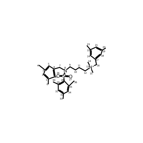 Cc1cc(C)cc(CN(CCCC[N+](C)(C)Cc2cc(C)cc(C)c2)S(=O)(=O)c2c(C)cc(C)cc2C)c1